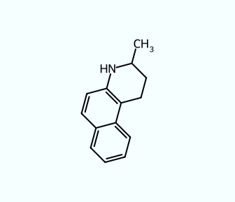 CC1CCc2c(ccc3ccccc23)N1